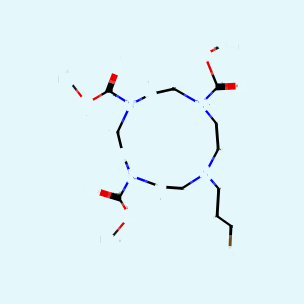 CC(C)(C)OC(=O)N1CCN(CCCBr)CCN(C(=O)OC(C)(C)C)CCN(C(=O)OC(C)(C)C)CC1